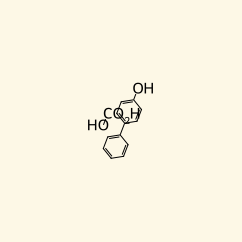 O=C(O)O.Oc1ccc(-c2ccccc2)cc1